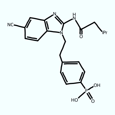 CC(C)CC(=O)Nc1nc2cc(C#N)ccc2n1CCc1ccc(P(=O)(O)O)cc1